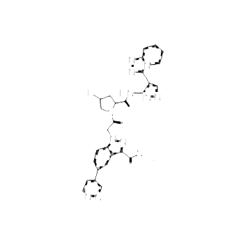 NC(=O)c1nn(CC(=O)N2CC(F)CC2C(=O)Nc2[nH]ncc2-c2nnc3ccccn23)c2ccc(-c3ccnnc3)cc12